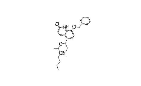 CCCCOC(C)OC(CBr)c1ccc(OCc2ccccc2)c2[nH]c(=O)ccc12